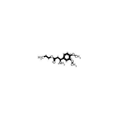 CCCOC(=O)CC(N)c1ccc(OC)c(OC)c1